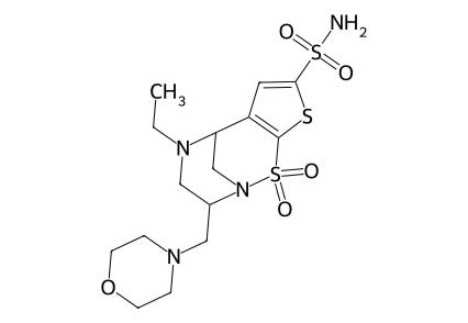 CCN1CC(CN2CCOCC2)N2CC1c1cc(S(N)(=O)=O)sc1S2(=O)=O